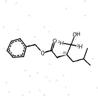 [2H]C([2H])(O)[C@H](CC(=O)OCc1ccccc1)CC(C)C